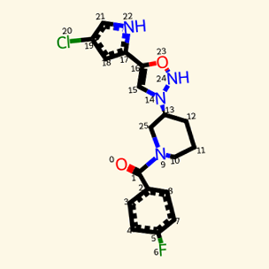 O=C(c1ccc(F)cc1)N1CCC[C@H](N2C=C(c3cc(Cl)c[nH]3)ON2)C1